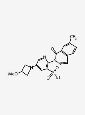 CCS(=O)(=O)c1cc(N2CC(OC)C2)cnc1-n1ncc2ccc(C(F)(F)F)cc2c1=O